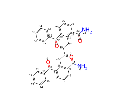 NC(=O)c1cccc(C(=O)c2ccccc2)c1CCCCc1c(C(N)=O)cccc1C(=O)c1ccccc1